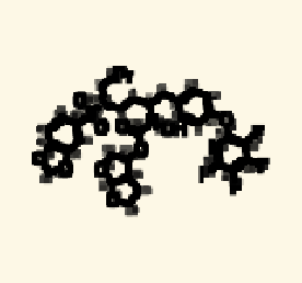 CC(C)CN(CCC(Cc1ccc(Oc2nc(F)c(F)c(F)c2F)cc1)N(O)C(=O)OC1COC2OCCC12)S(=O)(=O)c1ccc2c(c1)OCO2